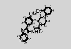 CCc1ccccc1N1CCN(C(=O)CNc2c(-c3ccc(OC(F)(F)F)cc3)nc3cnccn23)CC1